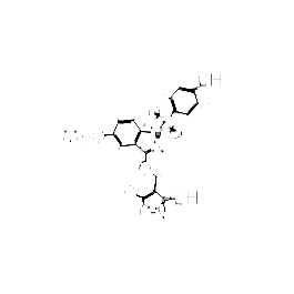 COc1ccc2c(c1)c(OCc1c(C)noc1C)nn2S(=O)(=O)c1ccc(C)cc1